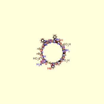 CCCC[C@H]1C(=O)N(C)[C@@H](CCCC)C(=O)N[C@@H](CCC(=O)O)C(=O)N[C@H](C(=O)NCC(N)=O)CSCC(=O)N[C@@H](Cc2ccc(O)cc2)C(=O)N2CCCC[C@H]2C(=O)N[C@@H](CC(=O)O)C(=O)N2CCC[C@H]2C(=O)N[C@@H](CN)C(=O)N[C@@H](CCC(=O)O)C(=O)N2C[C@H](O)C[C@H]2C(=O)N[C@@H](Cc2c[nH]c3ccccc23)C(=O)N[C@@H](CO)C(=O)N[C@@H](Cc2c[nH]c3ccccc23)C(=O)N1C